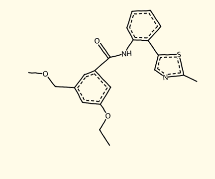 CCOc1cc(COC)cc(C(=O)Nc2ccccc2-c2cnc(C)s2)c1